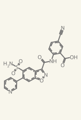 N#Cc1ccc(NC(=O)c2noc3cc(-c4cccnc4)c(S(N)(=O)=O)cc23)c(C(=O)O)c1